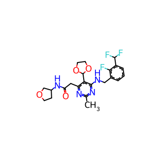 Cc1nc(CC(=O)NC2CCOC2)c(C2OCCO2)c(NCc2cccc(C(F)F)c2F)n1